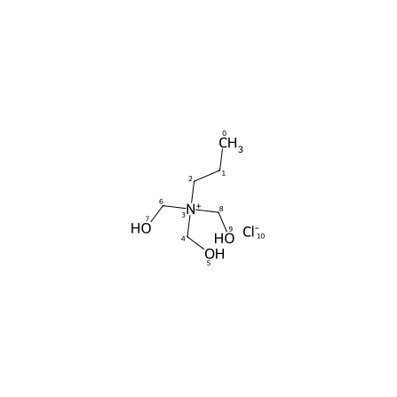 CCC[N+](CO)(CO)CO.[Cl-]